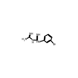 N=C(N)NC(=N)Nc1cccc(Br)c1